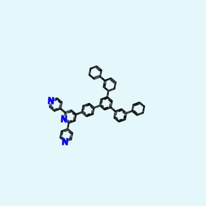 C1=CC(C2=CC(c3cc(-c4ccc(-c5cc(-c6ccncc6)nc(-c6ccncc6)c5)cc4)cc(-c4cccc(C5=CCCC=C5)c4)c3)CC=C2)=CCC1